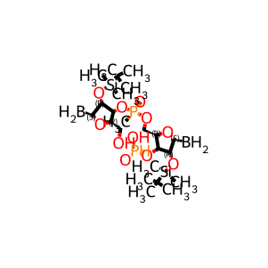 B[C@@H]1O[C@H](COP(C)(=O)OC2[C@@H](CO)O[C@@H](B)[C@H]2O[Si](C)(C)C(C)(C)C)C(O[PH](=O)O)[C@@H]1O[Si](C)(C)C(C)(C)C